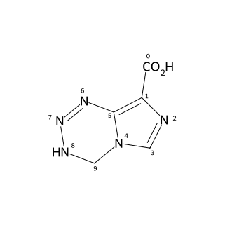 O=C(O)c1ncn2c1N=NNC2